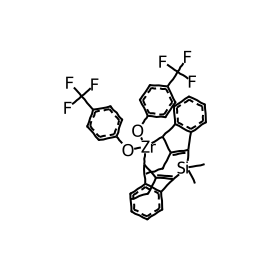 CCC1=C2c3ccccc3[CH]1[Zr]([O]c1ccc(C(F)(F)F)cc1)([O]c1ccc(C(F)(F)F)cc1)[CH]1C(CC)=C(c3ccccc31)[Si]2(C)C